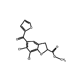 COC(=O)C1Cc2cc(C(=O)c3ccco3)c(Cl)c(Cl)c2O1